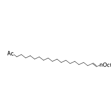 CCCCCCCCC=CCCCCCCCCCCCCCCCCCC(C)=O